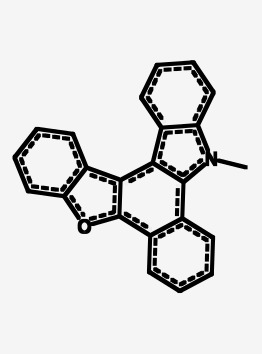 Cn1c2ccccc2c2c3c4ccccc4oc3c3ccccc3c21